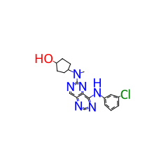 CN(c1ncc2ncnc(Nc3cccc(Cl)c3)c2n1)C1CCC(O)CC1